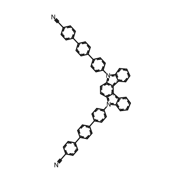 N#Cc1ccc(-c2ccc(-c3ccc(-n4c5ccccc5c5c6c7ccccc7n(-c7ccc(-c8ccc(-c9ccc(C#N)cc9)cc8)cc7)c6ccc54)cc3)cc2)cc1